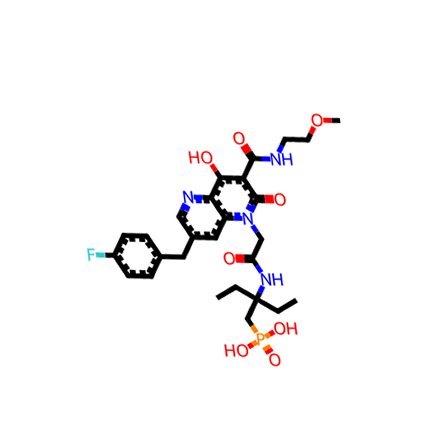 CCC(CC)(CP(=O)(O)O)NC(=O)Cn1c(=O)c(C(=O)NCCOC)c(O)c2ncc(Cc3ccc(F)cc3)cc21